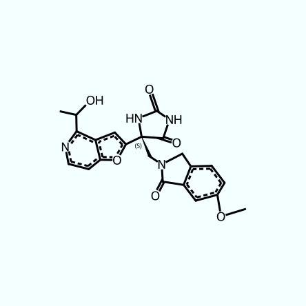 COc1ccc2c(c1)C(=O)N(C[C@@]1(c3cc4c(C(C)O)nccc4o3)NC(=O)NC1=O)C2